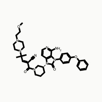 COCCN1CCN(C(C)(C)C=C(C#N)C(=O)N2CCC[C@@H](n3c(=O)n(-c4ccc(Oc5ccccc5)cc4)c4c(N)nccc43)C2)CC1